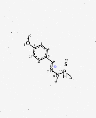 COc1ccc(/C=N/N(C)[PH](C)=S)cc1